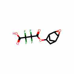 O=C(O)C(F)(F)C(F)(F)C(=O)OC1CC2CC1C1OC21